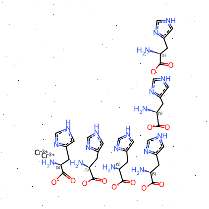 N[C@@H](Cc1c[nH]cn1)C(=O)[O-].N[C@@H](Cc1c[nH]cn1)C(=O)[O-].N[C@@H](Cc1c[nH]cn1)C(=O)[O-].N[C@@H](Cc1c[nH]cn1)C(=O)[O-].N[C@@H](Cc1c[nH]cn1)C(=O)[O-].N[C@@H](Cc1c[nH]cn1)C(=O)[O-].[Cr+3].[Cr+3]